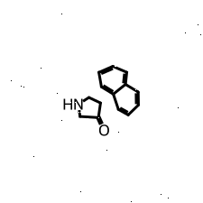 O=C1CCNC1.c1ccc2ccccc2c1